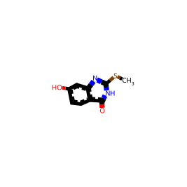 CSc1nc2cc(O)ccc2c(=O)[nH]1